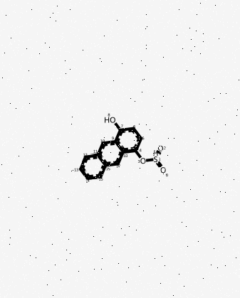 O=[SH](=O)Oc1ccc(O)c2cc3ccccc3cc12